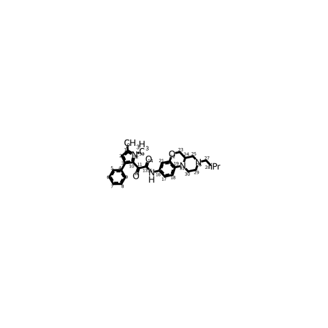 Cc1cc(-c2ccccc2)c(C(=O)C(=O)Nc2ccc3c(c2)OCC2CN(CC(C)C)CCN32)n1C